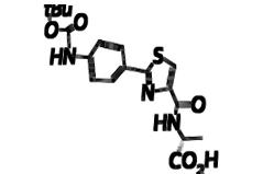 C[C@@H](NC(=O)c1csc(-c2ccc(NC(=O)OC(C)(C)C)cc2)n1)C(=O)O